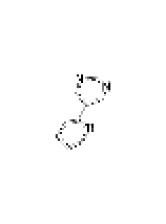 b1ccccc1-c1cncnc1